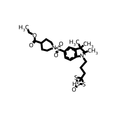 CCOC(=O)C1CCN(S(=O)(=O)c2ccc3c(c2)C(C)(C)C(C)=[N+]3CCCC23S[SH]2(=O)S3)CC1